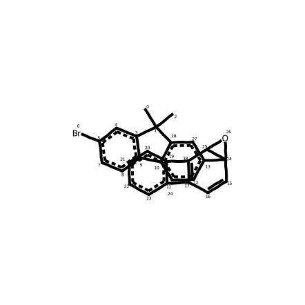 CC1(C)c2cc(Br)ccc2-c2ccc(C34C=CC5=C(c6ccccc65)C3O4)cc21